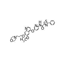 COc1cc2c(Oc3ccc(NC(=O)c4csc(-c5ccccc5)n4)nc3)ccnc2cc1OCCCN1CCOCC1